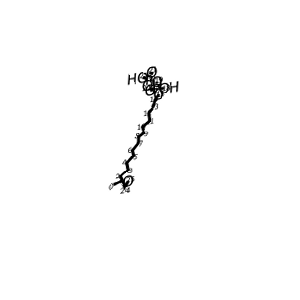 CC1(CCCCCCCCCCCCCOP(=O)(O)OP(=O)(O)O)CO1